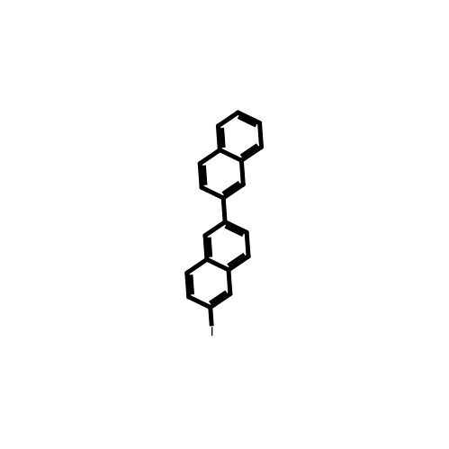 Ic1ccc2cc(-c3ccc4ccccc4c3)ccc2c1